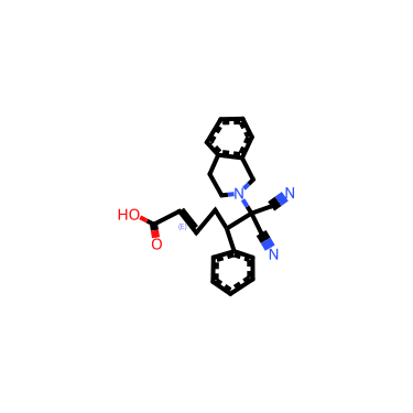 N#CC(C#N)(C(C/C=C/C(=O)O)c1ccccc1)N1CCc2ccccc2C1